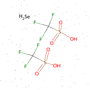 O=S(=O)(O)C(F)(F)F.O=S(=O)(O)C(F)(F)F.[SeH2]